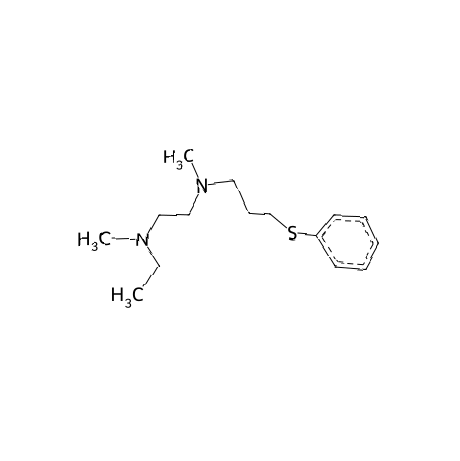 CCN(C)CCN(C)CCCSc1ccccc1